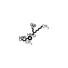 CCCCCCCC(CCC[N+](=O)[O-])C(=O)Nc1cccc(C2=NNC(=O)CC2C)c1